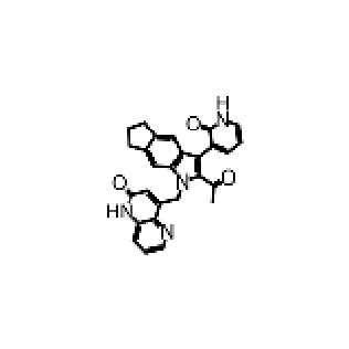 CC(=O)c1c(-c2ccc[nH]c2=O)c2cc3c(cc2n1Cc1cc(=O)[nH]c2cccnc12)CCC3